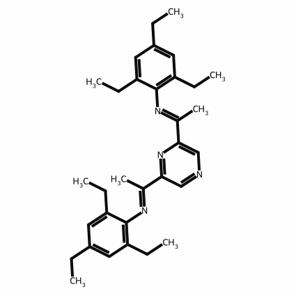 CCc1cc(CC)c(N=C(C)c2cncc(C(C)=Nc3c(CC)cc(CC)cc3CC)n2)c(CC)c1